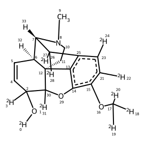 [2H]OC1([2H])C=C[C@H]2[C@@H]3N(C)CC[C@@]24c2c(c(OC([2H])([2H])[2H])c([2H])c([2H])c2C3([2H])[2H])OC14[2H]